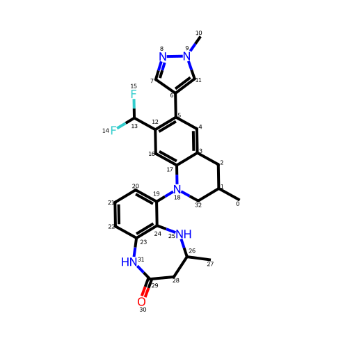 CC1Cc2cc(-c3cnn(C)c3)c(C(F)F)cc2N(c2cccc3c2NC(C)CC(=O)N3)C1